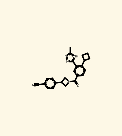 Cc1nnc(-c2cc(C(=O)N3CC(c4ccc(C#N)cc4)C3)ccc2C2CCC2)[nH]1